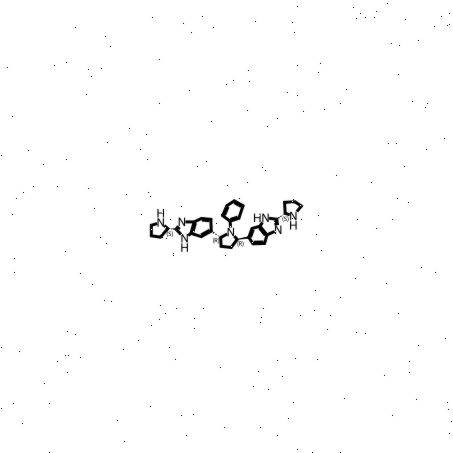 c1ccc(N2[C@@H](c3ccc4nc([C@@H]5CCCN5)[nH]c4c3)CC[C@@H]2c2ccc3nc([C@@H]4CCCN4)[nH]c3c2)cc1